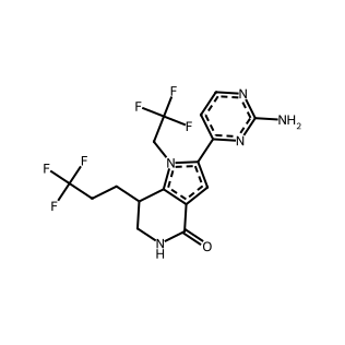 Nc1nccc(-c2cc3c(n2CC(F)(F)F)C(CCC(F)(F)F)CNC3=O)n1